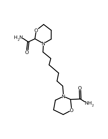 NC(=O)C1OCCCN1CCCCCCN1CCCOC1C(N)=O